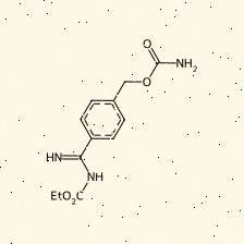 CCOC(=O)NC(=N)c1ccc(COC(N)=O)cc1